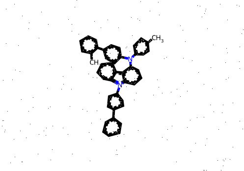 Cc1ccc(N(c2ccc(-c3ccccc3C)cc2)c2cccc3c2c2ccccc2n3-c2ccc(-c3ccccc3)cc2)cc1